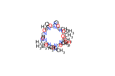 CCC(C)C1NC(=O)[C@@H]2CCCN2C(=O)C(Cc2ccccc2)N(C)C(=O)C(Cc2ccccc2)NC(=O)CN(C)C(=O)C([C@H](C)CC)OC(=O)C(C(C)(C)O)N(C)C(=O)C(CC(C)C)NC(=O)[C@H](C)N(C)C1=O